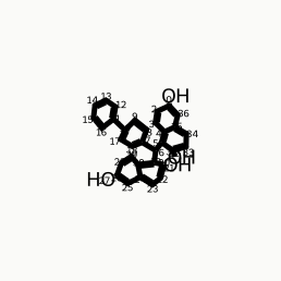 Oc1ccc2c(C(c3ccc(-c4ccccc4)cc3)c3c(O)ccc4cc(O)ccc34)c(O)ccc2c1